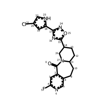 O=C1c2cc(F)ncc2CCC2CCC(c3nc(-c4cc(Cl)c[nH]4)no3)CN12